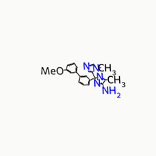 COc1cccc(-c2cccc(C3(c4cncn4C)N=C(C)C(N)=N3)c2)c1